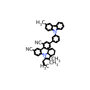 C/C=C\C1=C(C)C2(C)CCC=CC2N1c1ccc(C#N)cc1-c1ccc(-c2cccc(-n3c4ccccc4c4cc(C)ccc43)c2)cc1C#N